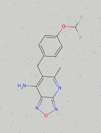 Cc1nc2nonc2c(N)c1Cc1ccc(OC(F)F)cc1